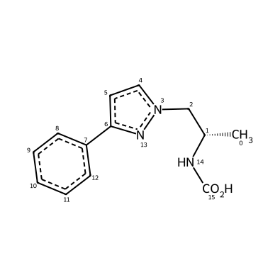 C[C@@H](Cn1ccc(-c2ccccc2)n1)NC(=O)O